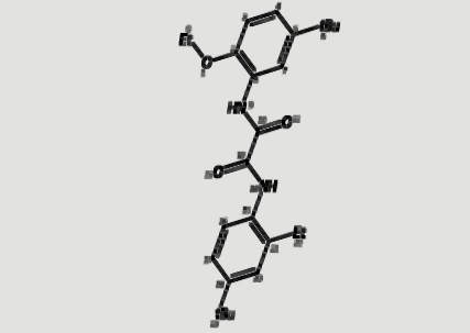 CCOc1ccc(C(C)(C)C)cc1NC(=O)C(=O)Nc1ccc(C(C)(C)C)cc1CC